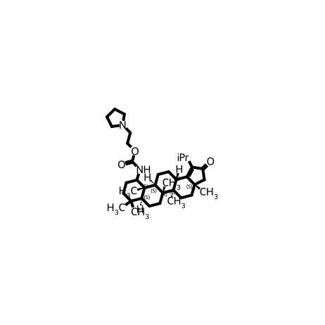 CC(C)C1=C2[C@H]3CC[C@@H]4[C@@]5(C)C(NC(=O)OCCN6CCCC6)CCC(C)(C)[C@@H]5CC[C@@]4(C)[C@]3(C)CC[C@@]2(C)CC1=O